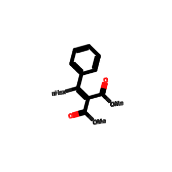 CCCCCCC(=C(C(=O)OC)C(=O)OC)c1ccccc1